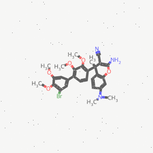 COc1cc(-c2ccc(C3(C)C(C#N)=C(N)Oc4cc(N(C)C)ccc43)c(OC)c2OC)cc(Br)c1OC